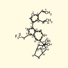 C=Cc1occ(-c2nn(CC(F)(F)F)c3cc(C(=O)N4C5CCC4CC(O)C5)ncc23)c1C=C